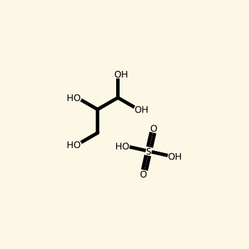 O=S(=O)(O)O.OCC(O)C(O)O